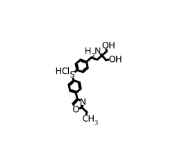 CCc1nc(-c2ccc(Sc3ccc(CCC(N)(CO)CO)cc3)cc2)co1.Cl